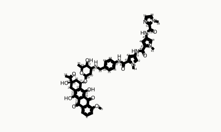 COc1cccc2c1C(=O)c1c(O)c3c(c(O)c1C2=O)C[C@](O)(C(C)=O)C[C@H]3OC1CC(NCc2ccc(NC(=O)c3cc(NC(=O)c4cc(NC(=O)c5nccn5C)cn4C)cn3C)cc2)C(O)C(C)O1